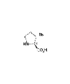 O=C(O)[C@@H]1CCCN1.[Rb]